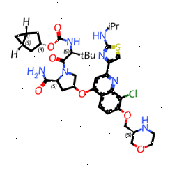 CC(C)Nc1nc(-c2cc(OC3C[C@@H](C(N)=O)N(C(=O)[C@@H](NC(=O)O[C@@H]4C[C@@H]5C[C@@H]5C4)C(C)(C)C)C3)c3ccc(OC[C@@H]4COCCN4)c(Cl)c3n2)cs1